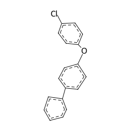 Clc1ccc(Oc2ccc(-c3ccccc3)cc2)cc1